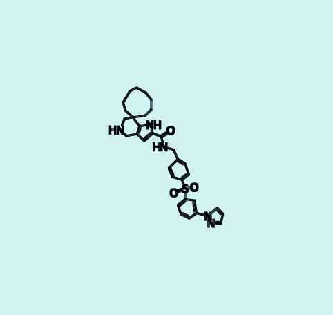 O=C(NCc1ccc(S(=O)(=O)c2cccc(-n3cccn3)c2)cc1)c1cc2c([nH]1)C1(CCCCCCCC1)CNC2